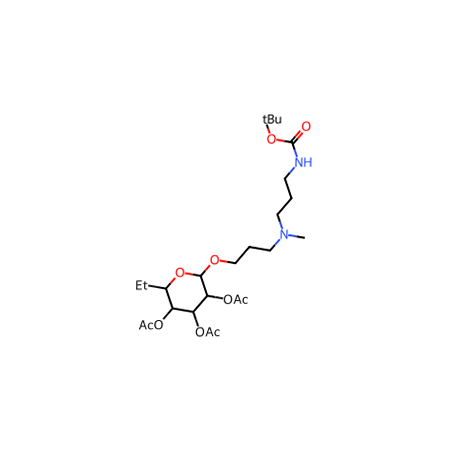 CCC1OC(OCCCN(C)CCCNC(=O)OC(C)(C)C)C(OC(C)=O)C(OC(C)=O)C1OC(C)=O